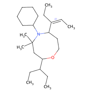 C/C=C(/CC)C1CCOC(C(CC)CC)CC(C)(C)N1C1CCCCC1